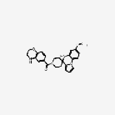 COc1ccc2c(c1)NC1(CCN(C(=O)c3ccc4c(c3)NCCO4)CC1)c1cccn1-2